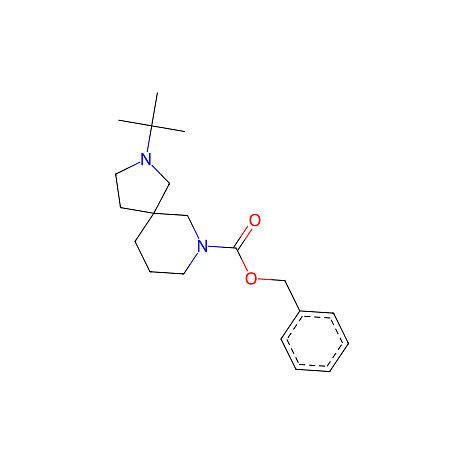 CC(C)(C)N1CCC2(CCCN(C(=O)OCc3ccccc3)C2)C1